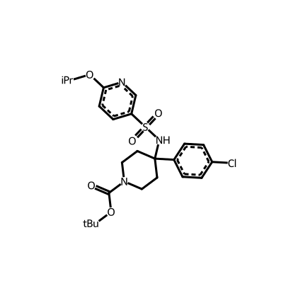 CC(C)Oc1ccc(S(=O)(=O)NC2(c3ccc(Cl)cc3)CCN(C(=O)OC(C)(C)C)CC2)cn1